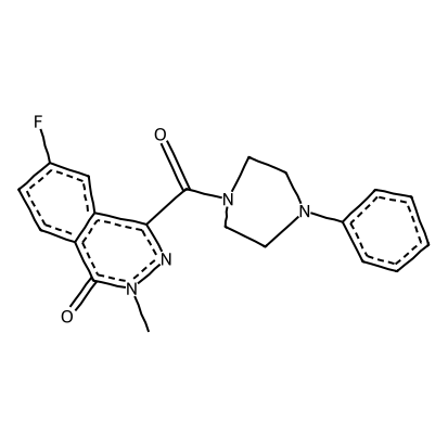 Cn1nc(C(=O)N2CCN(c3ccccc3)CC2)c2cc(F)ccc2c1=O